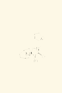 CC(C)N1C(=O)N(C[C@@H]2CCCO2)CC12CC1CCC(C2)N1